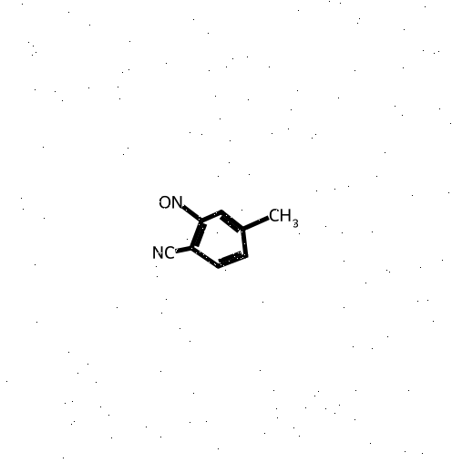 Cc1ccc(C#N)c(N=O)c1